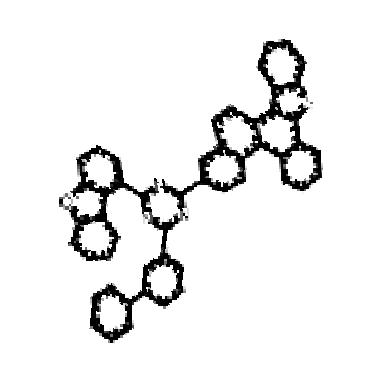 c1ccc(-c2cccc(-c3nc(-c4ccc5c(ccc6c5c5ccccc5c5sc7ccccc7c65)c4)nc(-c4cccc5oc6ccccc6c45)n3)c2)cc1